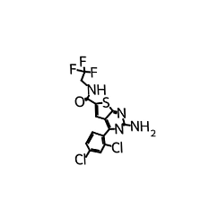 Nc1nc(-c2ccc(Cl)cc2Cl)c2cc(C(=O)NCC(F)(F)F)sc2n1